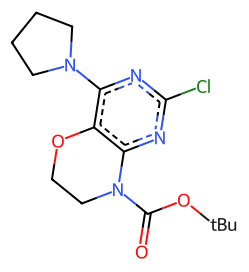 CC(C)(C)OC(=O)N1CCOc2c(N3CCCC3)nc(Cl)nc21